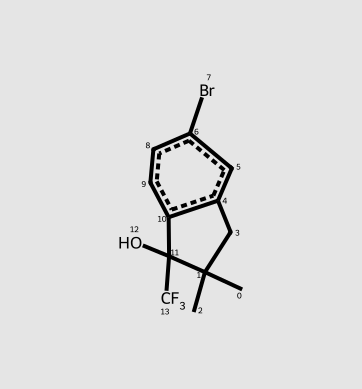 CC1(C)Cc2cc(Br)ccc2C1(O)C(F)(F)F